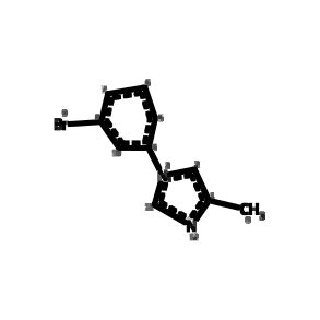 Cc1cn(-c2cccc(Br)c2)cn1